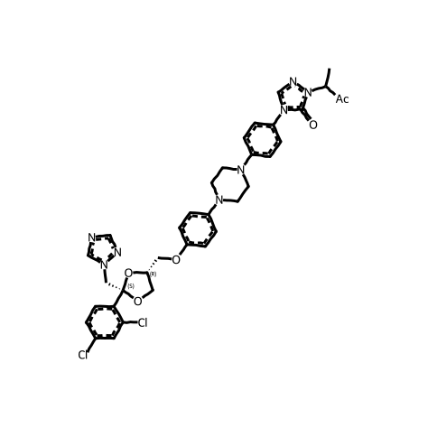 CC(=O)C(C)n1ncn(-c2ccc(N3CCN(c4ccc(OC[C@@H]5CO[C@@](Cn6cncn6)(c6ccc(Cl)cc6Cl)O5)cc4)CC3)cc2)c1=O